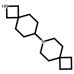 C1CC2(C1)CCN(C1CCC3(CC1)CNC3)CC2